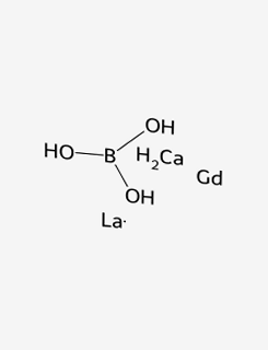 OB(O)O.[CaH2].[Gd].[La]